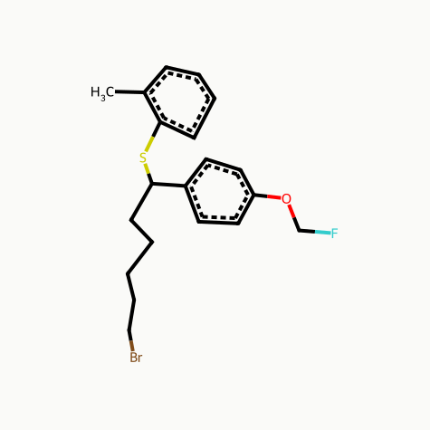 Cc1ccccc1SC(CCCCCBr)c1ccc(OCF)cc1